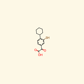 O=C(O)C(=O)c1ccc(C2CCCCC2)c(S)c1